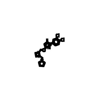 Cc1cc(OC[C@@H]2CC[C@H]2CN2CCCC2)nn1-c1ccc(Cl)c(Cl)c1